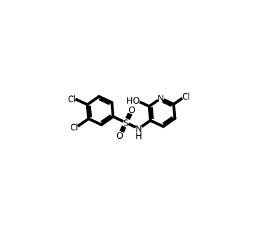 O=S(=O)(Nc1ccc(Cl)nc1O)c1ccc(Cl)c(Cl)c1